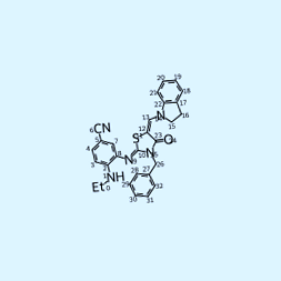 CCNc1ccc(C#N)cc1N=C1SC(=CN2CCc3ccccc32)C(=O)N1Cc1ccccc1